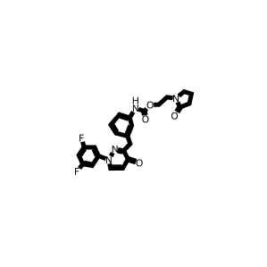 O=C(Nc1cccc(Cc2nn(-c3cc(F)cc(F)c3)ccc2=O)c1)OCCN1CCCC1=O